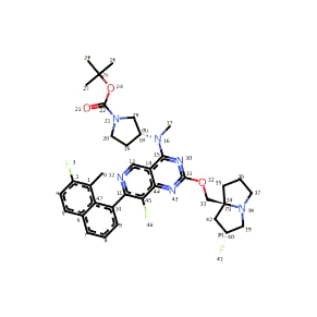 Cc1c(F)ccc2cccc(-c3ncc4c(N(C)[C@@H]5CCN(C(=O)OC(C)(C)C)C5)nc(OC[C@@]56CCCN5C[C@H](F)C6)nc4c3F)c12